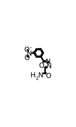 NC(=O)c1nnc(-c2cccc([N+](=O)[O-])c2)o1